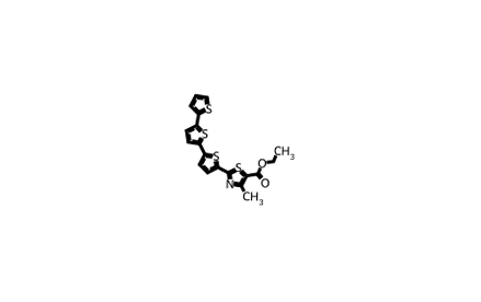 CCOC(=O)c1sc(-c2ccc(-c3ccc(-c4cccs4)s3)s2)nc1C